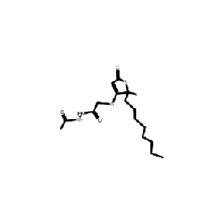 CCCCCCCCC1(C)SC(=O)C=C1OCC(=O)NNC(C)=O